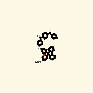 COc1ccc(C2(c3ccc(Oc4ccc(C(=O)c5ccc(C(=O)c6ccc(C)cc6)cc5)cc4)cc3)c3ccccc3-c3ccccc32)cc1